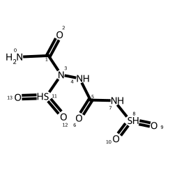 NC(=O)N(NC(=O)N[SH](=O)=O)[SH](=O)=O